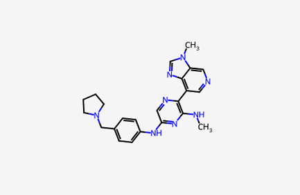 CNc1nc(Nc2ccc(CN3CCCC3)cc2)cnc1-c1cncc2c1ncn2C